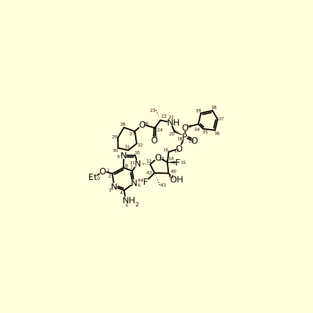 CCOc1nc(N)nc2c1ncn2[C@@H]1O[C@](F)(CO[P@](=O)(CN[C@@H](C)C(=O)OC2CCCCC2)Oc2ccccc2)[C@@H](O)[C@@]1(C)F